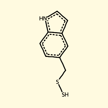 SSCc1ccc2[nH]ccc2c1